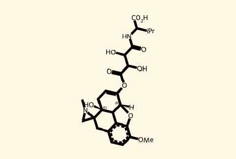 COc1ccc2c3c1O[C@H]1C(OC(=O)C(O)C(O)C(=O)NC(C(=O)O)C(C)C)=CC[C@](O)(C31)C1(C2)CN1C